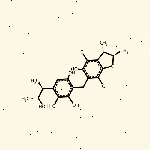 Cc1c([C@H](C)[C@@H](C)O)cc(O)c(Cc2c(O)c(C)c3c(c2O)O[C@H](C)[C@H]3C)c1O